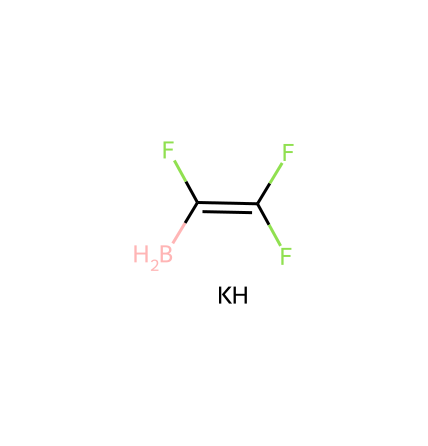 BC(F)=C(F)F.[KH]